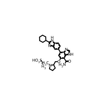 CN1CCCC1COc1cc(-c2ccc3[nH]c(C4CCCCC4)nc3c2)c2nc[nH]c2c1C(N)=O.CS(=O)(=O)O